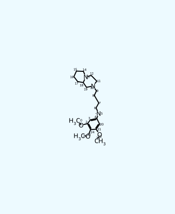 COc1cc([N]CCCCN2CCN3CCCCC3C2)cc(OC)c1OC